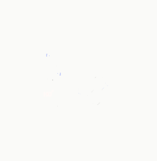 C=C(NC1=CNCC1F)C(O)CC(C)CNc1ccc(C)c2ncccc12